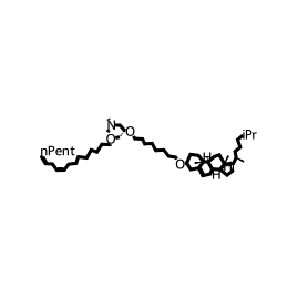 CCCCC/C=C\C/C=C\CCCCCCCCOC[C@H](CN(C)C)OCCCCCCCCOC1CC[C@@]2(C)C(=CC[C@H]3[C@@H]4CC[C@H]([C@H](C)CCCC(C)C)[C@@]4(C)CC[C@@H]32)C1